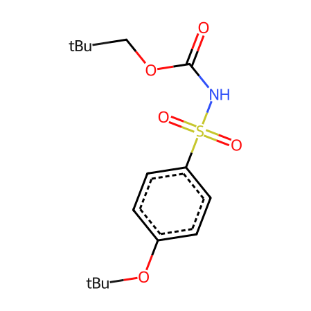 CC(C)(C)COC(=O)NS(=O)(=O)c1ccc(OC(C)(C)C)cc1